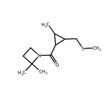 CSCC1C(C)C1C(=O)N1CCC1(C)C